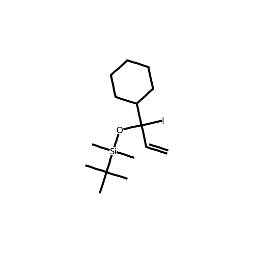 C=CC(I)(O[Si](C)(C)C(C)(C)C)C1CCCCC1